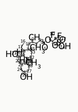 C[C@H](CCC(=O)OCC(F)(F)S(=O)(=O)O)[C@H]1CC[C@H]2[C@@H]3[C@H](O)CC4C[C@H](O)CC[C@]4(C)[C@H]3CC[C@]12C